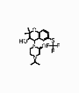 CC(C)N1CCN(C2c3cc(SC(F)(F)F)ccc3OC(C)(C)C2O)C(=O)C1